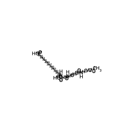 CC(=O)COCCOCCNC(=O)COCCOCCNC(=O)CC[C@H](NC(=O)CCCCCCCCCCCCCCCCCCC(=O)O)C(=O)O